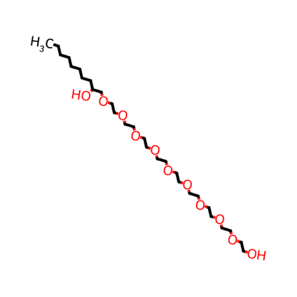 CCCCCCCCC(O)COCCOCCOCCOCCOCCOCCOCCOCCOCCO